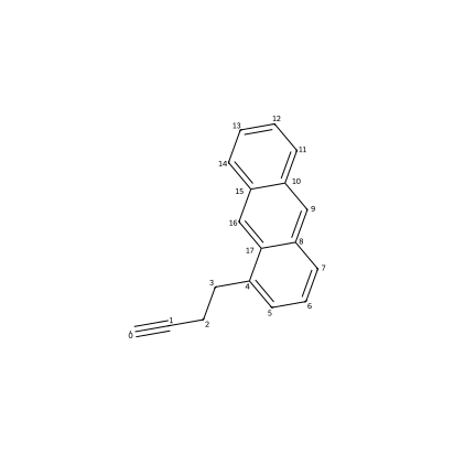 [C]#CCCc1cccc2cc3ccccc3cc12